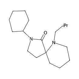 CC(C)CN1CCCCC12CCN(C1CCCCC1)C2=O